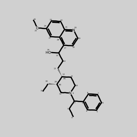 CCC(c1ccccc1)N1CC[C@@H](CCC(O)c2ccnc3ccc(OC)cc23)[C@@H](CC)C1